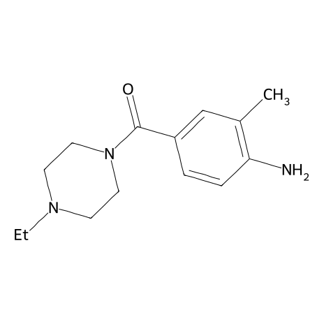 CCN1CCN(C(=O)c2ccc(N)c(C)c2)CC1